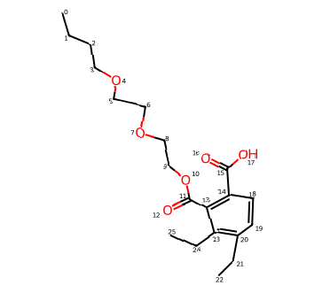 CCCCOCCOCCOC(=O)c1c(C(=O)O)ccc(CC)c1CC